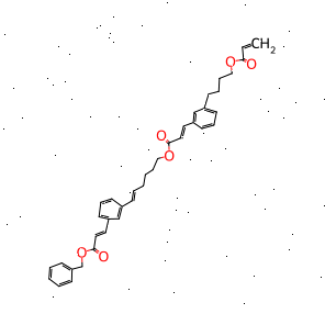 C=CC(=O)OCCCCc1cccc(/C=C/C(=O)OCCCC/C=C/c2cccc(/C=C/C(=O)OCc3ccccc3)c2)c1